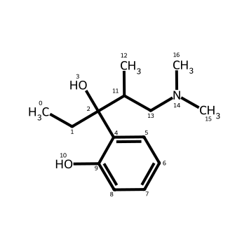 CCC(O)(c1ccccc1O)C(C)CN(C)C